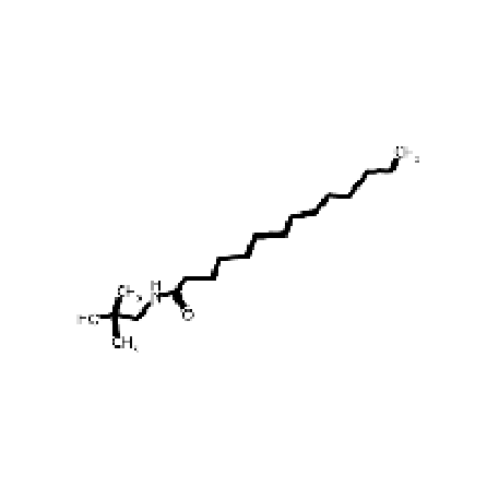 CCCCCCCCCCCCCC(=O)NCC(C)(C)O